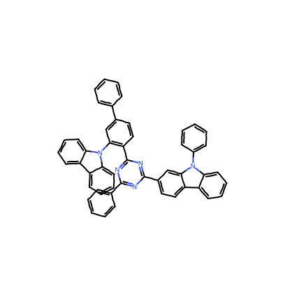 c1ccc(-c2ccc(-c3nc(-c4ccccc4)nc(-c4ccc5c6ccccc6n(-c6ccccc6)c5c4)n3)c(-n3c4ccccc4c4ccccc43)c2)cc1